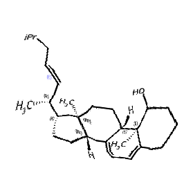 CC(C)C/C=C/[C@@H](C)[C@H]1CC[C@H]2C3=CC=C4CCCC(O)[C@]4(C)[C@H]3CC[C@]12C